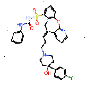 O=C(Nc1ccccc1)NS(=O)(=O)c1cccc2c1C/C(=C/CCN1CCC(O)(c3ccc(Cl)cc3)CC1)c1cccnc1O2